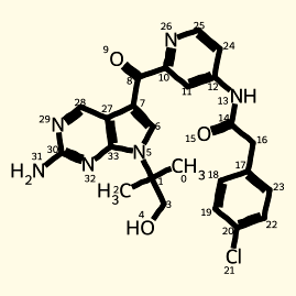 CC(C)(CO)n1cc(C(=O)c2cc(NC(=O)Cc3ccc(Cl)cc3)ccn2)c2cnc(N)nc21